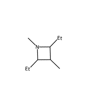 CCC1C(C)C(CC)N1C